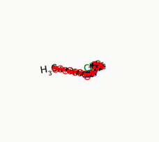 COCCOCCOCCOCCOCCOCCOCC(=O)N1CCN(CCCN2c3ccccc3Sc3ccc(Cl)cc32)CC1